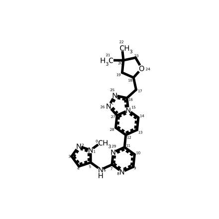 Cn1nccc1Nc1nccc(-c2ccn3c(CC4CC(C)(C)CO4)nnc3c2)n1